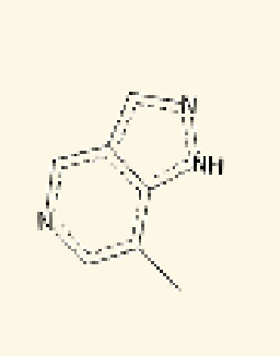 Cc1cncc2cn[nH]c12